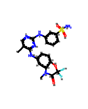 Cc1cnc(Nc2cccc(S(N)(=O)=O)c2)nc1Nc1ccc2c(c1)N(C)C(=O)C(F)(F)O2